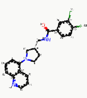 O=C(NC[C@@H]1CCN(c2cccc3ncccc23)C1)c1ccc(F)c(F)c1